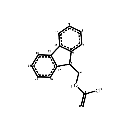 C=C(Cl)OCC1c2ccccc2-c2ccccc21